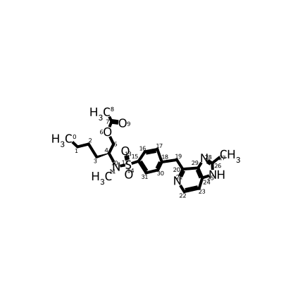 CCCC[C@@H](COC(C)=O)N(C)S(=O)(=O)c1ccc(Cc2nccc3[nH]c(C)nc23)cc1